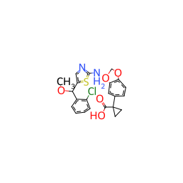 COC(c1cnc(N)s1)c1ccccc1Cl.O=C(O)C1(c2ccc3c(c2)OCO3)CC1